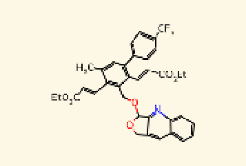 CCOC(=O)/C=C/c1c(C)cc(-c2ccc(C(F)(F)F)cc2)c(/C=C/C(=O)OCC)c1COC1OCc2cc3ccccc3nc21